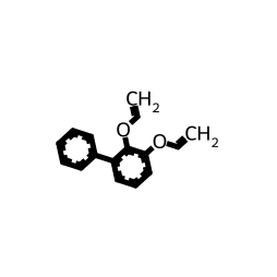 C=COc1cccc(-c2ccccc2)c1OC=C